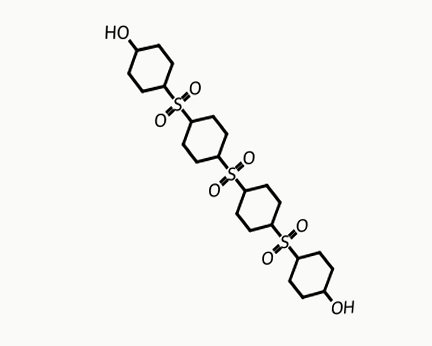 O=S(=O)(C1CCC(O)CC1)C1CCC(S(=O)(=O)C2CCC(S(=O)(=O)C3CCC(O)CC3)CC2)CC1